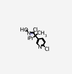 CC(C)C(C)(/C(Cl)=N/O)c1ccc(Cl)nc1